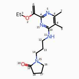 C=C(OCC)c1nc(C)c(C)c(NCCCN2CCCC2=O)n1